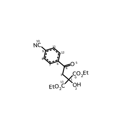 CCOC(=O)C(O)(CC(=O)c1ccc(C#N)cc1)C(=O)OCC